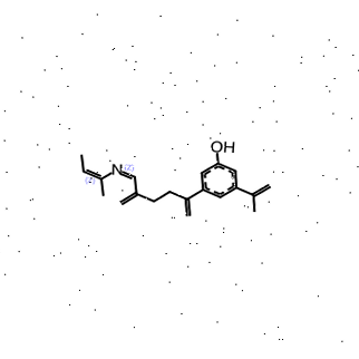 C=C(/C=N\C(C)=C/C)CCC(=C)c1cc(O)cc(C(=C)C)c1